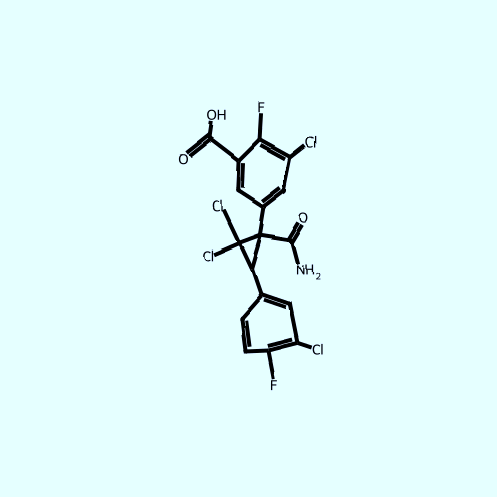 NC(=O)C1(c2cc(Cl)c(F)c(C(=O)O)c2)C(c2ccc(F)c(Cl)c2)C1(Cl)Cl